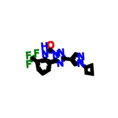 O=c1[nH]c2c(C(F)(F)F)cccc2c2nc(-c3cnn(C4CCC4)c3)nn12